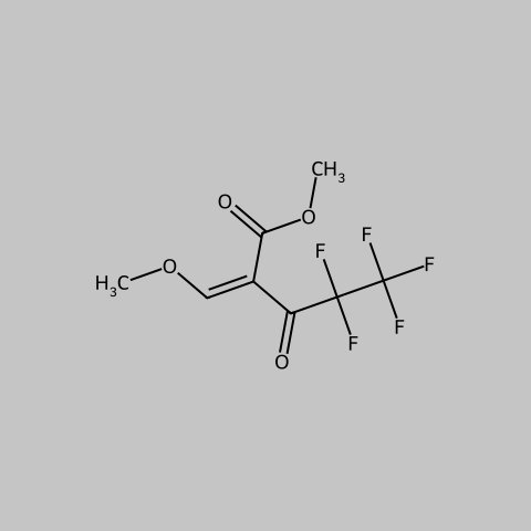 COC=C(C(=O)OC)C(=O)C(F)(F)C(F)(F)F